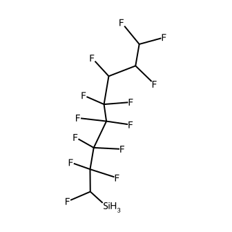 FC(F)C(F)C(F)C(F)(F)C(F)(F)C(F)(F)C(F)(F)C(F)[SiH3]